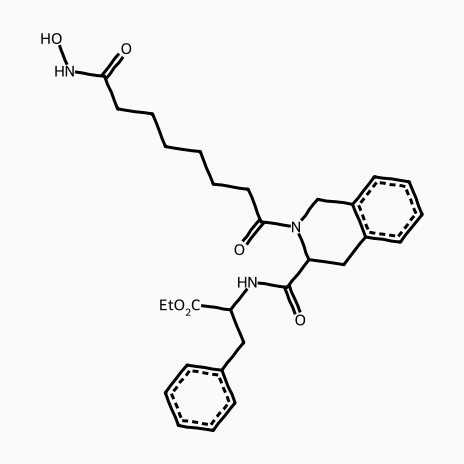 CCOC(=O)C(Cc1ccccc1)NC(=O)C1Cc2ccccc2CN1C(=O)CCCCCCC(=O)NO